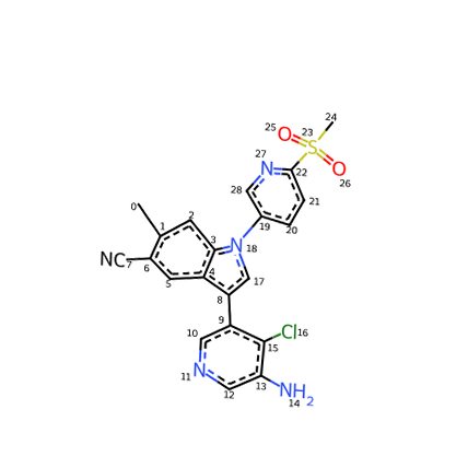 Cc1cc2c(cc1C#N)c(-c1cncc(N)c1Cl)cn2-c1ccc(S(C)(=O)=O)nc1